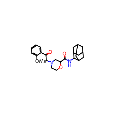 COc1ccccc1C(=O)CN1CCOC(C(=O)NC2C3CC4CC(C3)CC2C4)C1